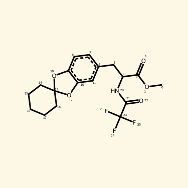 COC(=O)C(Cc1ccc2c(c1)OC1(CCCCC1)O2)NC(=O)C(F)(F)F